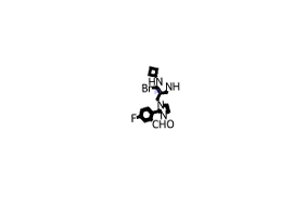 N=C/C(Cn1ccnc1-c1ccc(F)cc1C=O)=C(/Br)NC1CCC1